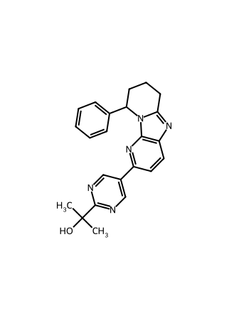 CC(C)(O)c1ncc(-c2ccc3nc4n(c3n2)C(c2ccccc2)CCC4)cn1